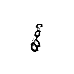 c1ccc2nc(-c3ccc(N4CCCC4)cc3)ccc2c1